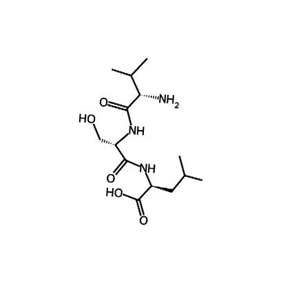 CC(C)C[C@H](NC(=O)[C@H](CO)NC(=O)[C@@H](N)C(C)C)C(=O)O